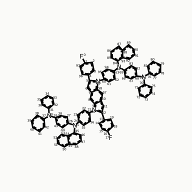 Fc1ccc(-c2cc3cc4c(cc(-c5ccc(F)cc5)n4-c4ccc(N(c5ccc(N(c6ccccc6)c6ccccc6)cc5)c5cccc6ccccc56)cc4)cc3n2-c2ccc(N(c3ccc(N(c4ccccc4)c4ccccc4)cc3)c3cccc4ccccc34)cc2)cc1